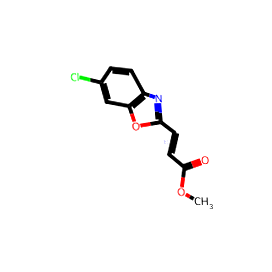 COC(=O)/C=C/c1nc2ccc(Cl)cc2o1